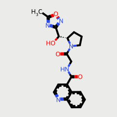 Cc1nc(C(O)[C@@H]2CCCN2C(=O)CNC(=O)c2ccnc3ccccc23)no1